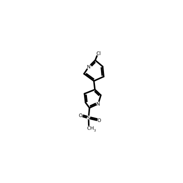 CS(=O)(=O)c1ccc(-c2ccc(Cl)nc2)cn1